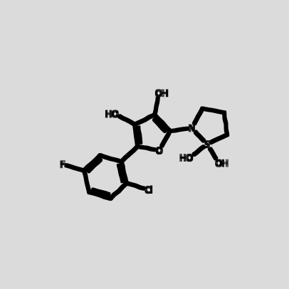 Oc1c(-c2cc(F)ccc2Cl)oc(N2CCCS2(O)O)c1O